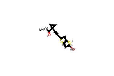 COC(=O)C1(C#Cc2cc3sc(Br)cc3s2)CC1